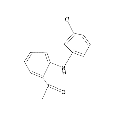 CC(=O)c1ccccc1Nc1cccc(Cl)c1